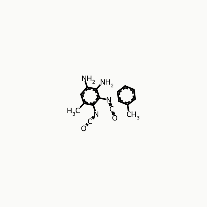 Cc1cc(N)c(N)c(N=C=O)c1N=C=O.Cc1ccccc1